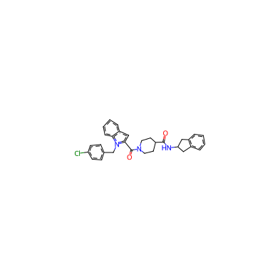 O=C(NC1Cc2ccccc2C1)C1CCN(C(=O)c2cc3ccccc3n2Cc2ccc(Cl)cc2)CC1